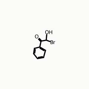 O=C(c1ccccc1)C(O)Br